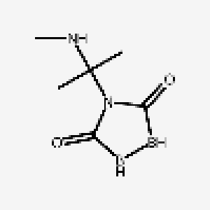 CNC(C)(C)N1C(=O)BBC1=O